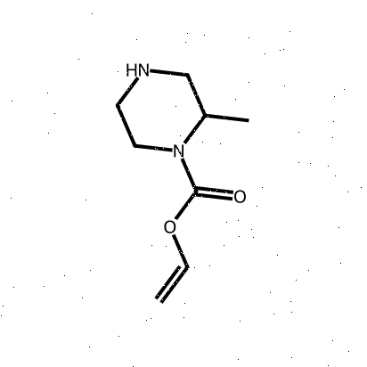 C=COC(=O)N1CCNCC1C